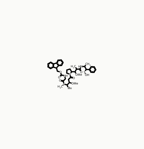 CCC(C)C(C(CC(=O)N1CCCC1C(OC)C(C)C(=O)NC(C)C(SO)c1ccccc1)OC)N(C)C(=O)CNC(=O)OCC1c2ccccc2-c2ccccc21